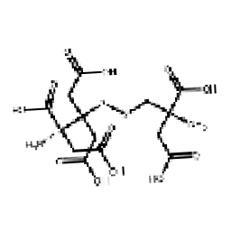 N[C@](CSSC(CC(=O)O)(CC(=O)O)[C@@](N)(CC(=O)O)C(=O)O)(CC(=O)O)C(=O)O